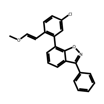 COC=Cc1ccc(Cl)cc1-c1cccc2c(-c3ccccc3)noc12